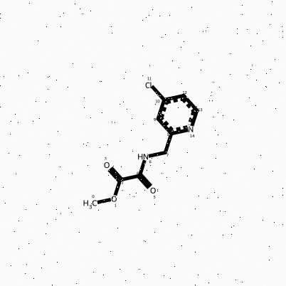 COC(=O)C(=O)NCc1cc(Cl)ccn1